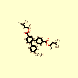 CCC(CC)C[C@@H](C)OC(=O)c1ccc(-c2cc(C(=O)O[C@H](C)CC(CC)CC)ccc2-c2ccc(C(=O)O)cc2)cc1